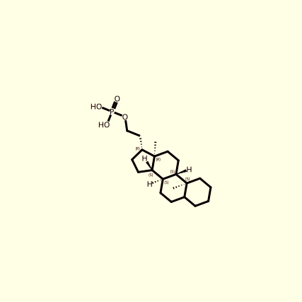 C[C@]12CC[C@H]3[C@@H](CCC4CCCC[C@@]43C)[C@@H]1CC[C@@H]2CCOP(=O)(O)O